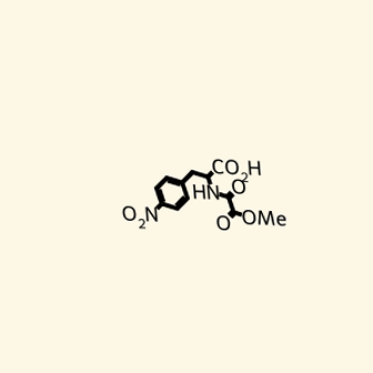 COC(=O)C(=O)NC(Cc1ccc([N+](=O)[O-])cc1)C(=O)O